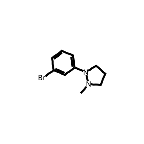 CN1CCCN1c1cccc(Br)c1